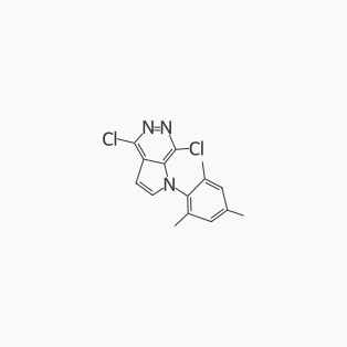 Cc1cc(C)c(-n2ccc3c(Cl)nnc(Cl)c32)c(C)c1